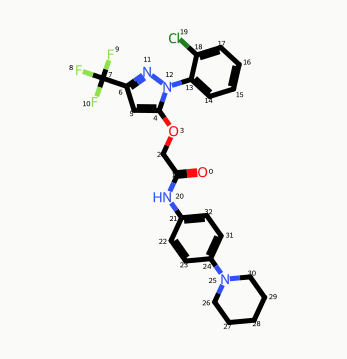 O=C(COc1cc(C(F)(F)F)nn1-c1ccccc1Cl)Nc1ccc(N2CCCCC2)cc1